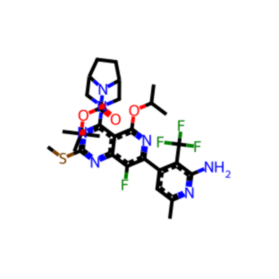 CSc1nc(N2CC3CCC(C2)N3C(=O)OC(C)(C)C)c2c(OC(C)C)nc(-c3cc(C)nc(N)c3C(F)(F)F)c(F)c2n1